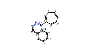 C1=CCC=C(c2nccc3ccccc23)C=C1